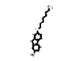 CCCCCCCCOc1ccc2c(c1)Cc1cc(O)ccc1-2